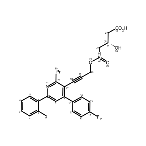 Cc1ccccc1-c1cc(-c2ccc(F)cc2)c(C#CCO[PH](=O)C[C@@H](O)CC(=O)O)c(C(C)C)n1